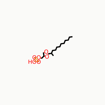 CCCCCCCCCCC(C)C1OCC(COS(=O)(=O)O)O1